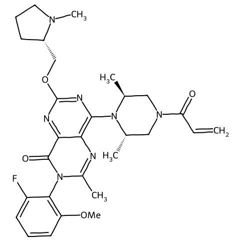 C=CC(=O)N1C[C@H](C)N(c2nc(OC[C@@H]3CCCN3C)nc3c(=O)n(-c4c(F)cccc4OC)c(C)nc23)[C@@H](C)C1